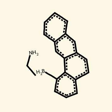 Bc1cccc2ccc3cc4ccccc4cc3c12.CCN